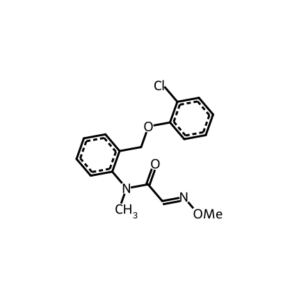 CON=CC(=O)N(C)c1ccccc1COc1ccccc1Cl